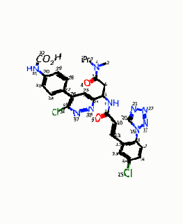 CC(C)N(C)C(=O)CC(NC(=O)C=Cc1cc(Cl)ccc1-n1cnnn1)c1cc(-c2ccc(NC(=O)O)cc2)c(Cl)nn1